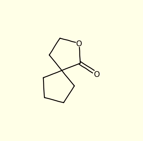 O=C1OCCC12CCCC2